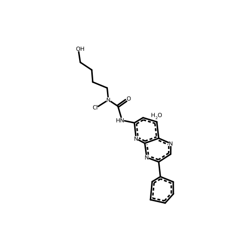 O.O=C(Nc1ccc2ncc(-c3ccccc3)nc2n1)N(Cl)CCCCO